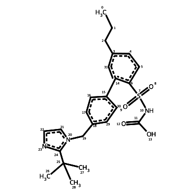 CCCc1ccc(S(=O)(=O)NC(=O)O)c(-c2ccc(Cn3ccnc3C(C)(C)C)cc2)c1